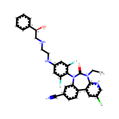 CCN1C(=O)N(c2c(F)cc(NCCNC[C@H](O)c3ccccc3)cc2F)c2cc(C#N)ccc2-c2cc(Cl)cnc21